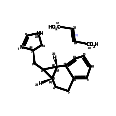 C1=N[C@H](CC2[C@H]3CCc4ccccc4[C@@H]23)CN1.O=C(O)/C=C/C(=O)O